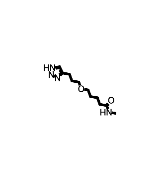 CNC(=O)CCCCOCCCc1c[nH]nn1